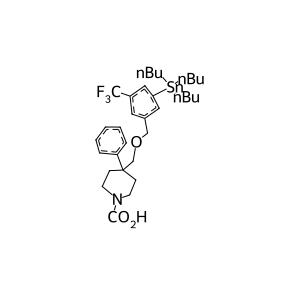 CCC[CH2][Sn]([CH2]CCC)([CH2]CCC)[c]1cc(COCC2(c3ccccc3)CCN(C(=O)O)CC2)cc(C(F)(F)F)c1